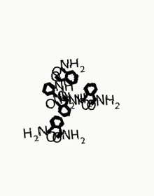 NC(=O)c1ccccc1C(=O)Nc1ccccc1NC(=O)c1ccccc1C(N)=O.NC(=O)c1ccccc1C(N)=O.NC(=O)c1ccccc1C(N)=O